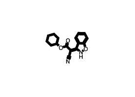 N#CC(C(=O)OC1CCCCC1)=C1NOc2ccccc21